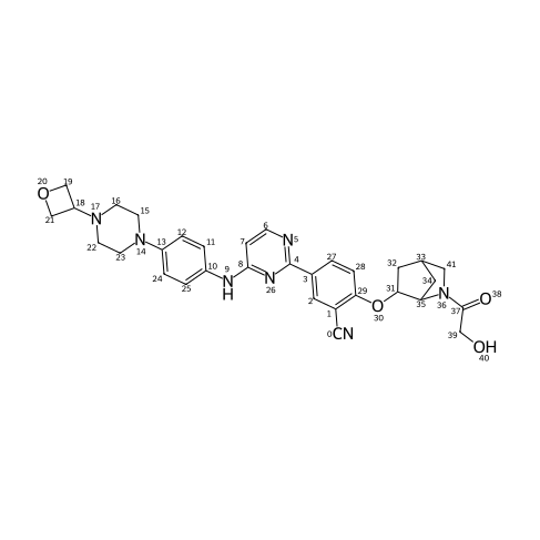 N#Cc1cc(-c2nccc(Nc3ccc(N4CCN(C5COC5)CC4)cc3)n2)ccc1OC1CC2CC1N(C(=O)CO)C2